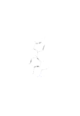 CCC1NCCc2ccc(-c3ccc(C(F)(F)F)cc3)cc21